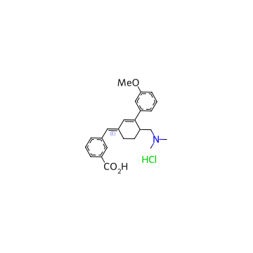 COc1cccc(C2=C/C(=C/c3cccc(C(=O)O)c3)CCC2CN(C)C)c1.Cl